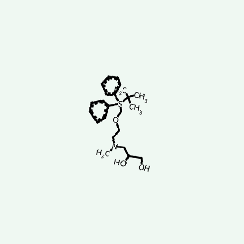 CN(CCOCS(c1ccccc1)(c1ccccc1)C(C)(C)C)CC(O)CO